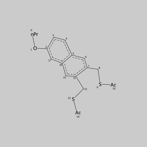 CCCOc1ccc2cc(CSC(C)=O)c(CSC(C)=O)cc2c1